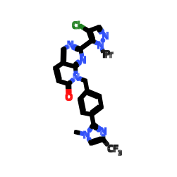 CC(C)n1ncc(Cl)c1-c1ncc2ccc(=O)n(Cc3ccc(-c4nc(C(F)(F)F)cn4C)cc3)c2n1